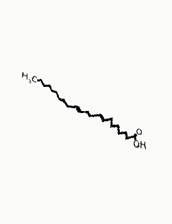 CCCCCCCCCC=CCCCCCCCCCCC(=O)O